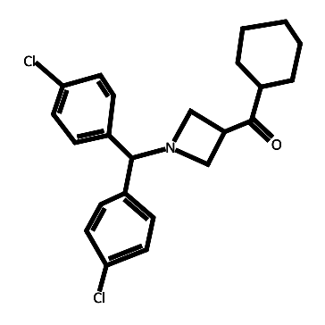 O=C(C1CCCCC1)C1CN(C(c2ccc(Cl)cc2)c2ccc(Cl)cc2)C1